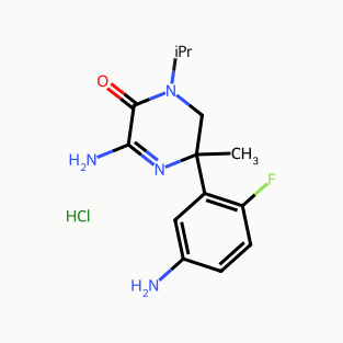 CC(C)N1CC(C)(c2cc(N)ccc2F)N=C(N)C1=O.Cl